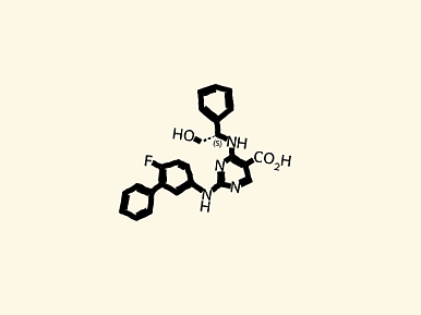 O=C(O)c1cnc(Nc2ccc(F)c(-c3ccccc3)c2)nc1N[C@H](CO)c1ccccc1